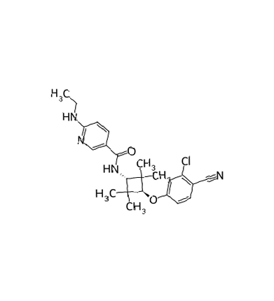 CCNc1ccc(C(=O)N[C@H]2C(C)(C)[C@H](Oc3ccc(C#N)c(Cl)c3)C2(C)C)cn1